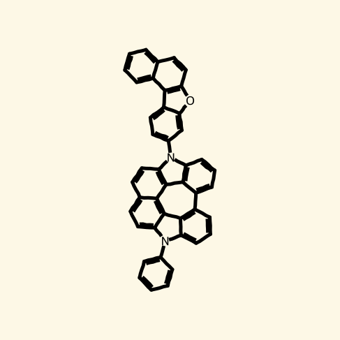 c1ccc(-n2c3cccc4c3c3c5c(ccc32)ccc2c5c3c-4cccc3n2-c2ccc3c(c2)oc2ccc4ccccc4c23)cc1